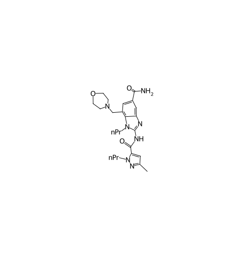 CCCn1nc(C)cc1C(=O)Nc1nc2cc(C(N)=O)cc(CN3CCOCC3)c2n1CCC